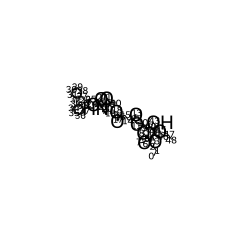 CCCOC1[C@@H](OC)OC(COC(=O)CCC(=O)OC[C@H](NC(=O)OCC2c3ccccc3-c3ccccc32)C(C)=O)[C@@H](O)[C@@H]1OCCC